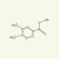 [CH2]CCOC(=O)c1ccc(C(=O)O)c(C(=O)O)c1